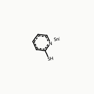 Sc1ccccn1.[Sn]